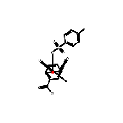 Cc1ccc(S(=O)(=O)On2c(=O)c3ccc(c(C(=O)Cl)c3)c2=O)cc1